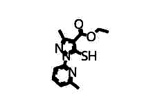 CCOC(=O)c1c(C)nn(-c2cccc(C)n2)c1S